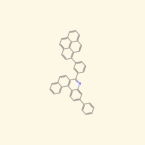 c1ccc(-c2ccc3c(c2)nc(-c2cccc(-c4ccc5ccc6cccc7ccc4c5c67)c2)c2ccc4ccccc4c23)cc1